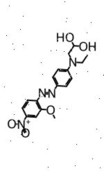 CCN(CC(O)O)c1ccc(N=Nc2ccc([N+](=O)[O-])cc2OC)cc1